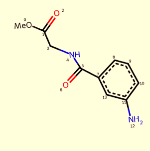 COC(=O)CNC(=O)c1cccc(N)c1